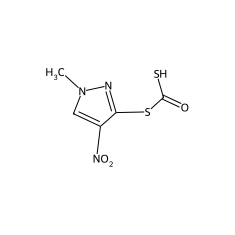 Cn1cc([N+](=O)[O-])c(SC(=O)S)n1